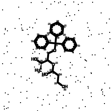 C[C@H](O)C(COC(c1ccccc1)(c1ccccc1)c1ccccc1)OC(O)CCO